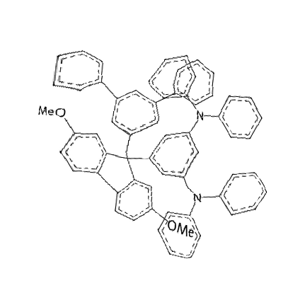 COc1ccc2c(c1)C(c1cc(-c3ccccc3)cc(-c3ccccc3)c1)(c1cc(N(c3ccccc3)c3ccccc3)cc(N(c3ccccc3)c3ccccc3)c1)c1cc(OC)ccc1-2